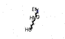 CC/C=C\CC(=O)NCCCCCO